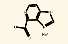 O=C([O-])c1nccc2[nH]cnc12.[Na+]